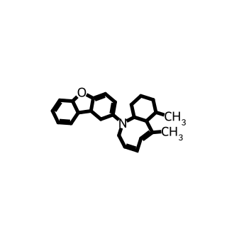 C/C1=C\C=C/CN(C2=CC=C3OC4C=CC=CC4C3C2)C2CCCC(C)C12